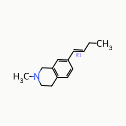 CC/C=C/c1ccc2c(c1)CN(C)CC2